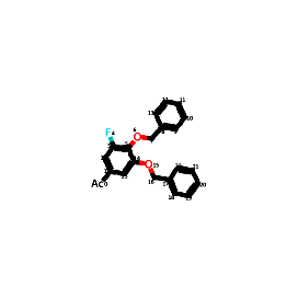 CC(=O)c1cc(F)c(OCc2ccccc2)c(OCc2ccccc2)c1